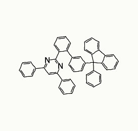 c1ccc(-c2cc(-c3ccccc3)nc(-c3ccccc3-c3cccc(C4(c5ccccc5)c5ccccc5-c5ccccc54)c3)n2)cc1